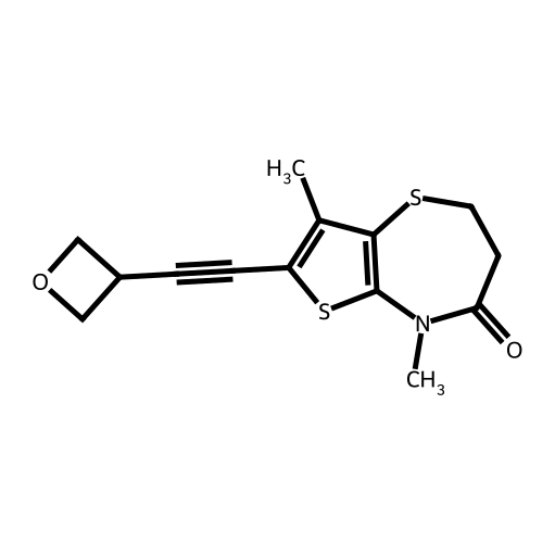 Cc1c(C#CC2COC2)sc2c1SCCC(=O)N2C